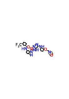 Cc1ccc(NC(=O)c2cccc(C(F)(F)F)c2)cc1NC(=O)Nc1cc(Nc2cccc(OCCN3CCOCC3)c2)ncn1